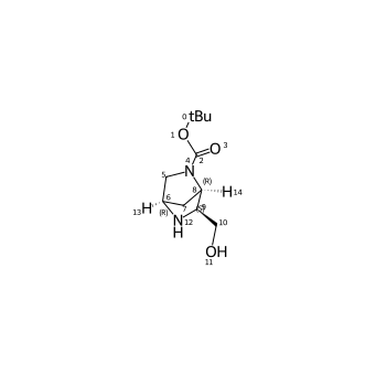 CC(C)(C)OC(=O)N1C[C@H]2C[C@@H]1[C@@H](CO)N2